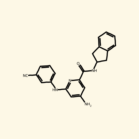 N#Cc1cccc(Nc2cc(N)cc(C(=O)NC3Cc4ccccc4C3)n2)c1